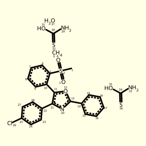 C.CS(=O)(=O)c1ccccc1-c1oc(-c2ccccc2)nc1-c1ccc(Cl)cc1.NC(O)=S.NC(O)=S.O